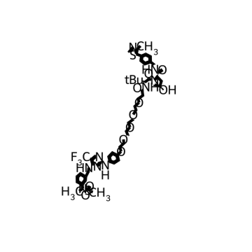 Cc1ncsc1-c1ccc(CNC(=O)[C@@H]2C[C@@H](O)CN2C(=O)[C@@H](NC(=O)CCOCCOCCOCCOCCOc2ccc(Nc3ncc(C(F)(F)F)c(NCc4cccc(N(C)S(C)(=O)=O)c4)n3)cc2)C(C)(C)C)cc1